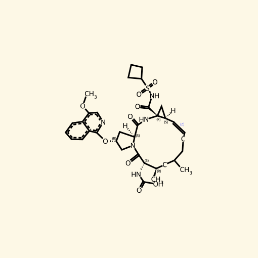 COc1cnc(O[C@@H]2C[C@H]3C(=O)N[C@]4(C(=O)NS(=O)(=O)C5CCC5)C[C@H]4/C=C\CCC(C)C[C@@H](C)[C@H](NC(=O)O)C(=O)N3C2)c2ccccc12